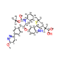 COc1ccc(-c2ccc(CC(Oc3ccc4[nH]c(CC(C)(C)C(=O)O)c(SC(C)(C)C)c4c3)C3Cc4ccccc4N3C(=O)OC(C)(C)C)cc2)nn1